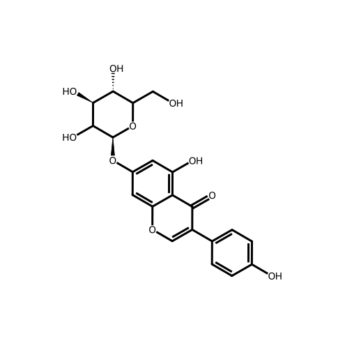 O=c1c(-c2ccc(O)cc2)coc2cc(O[C@@H]3OC(CO)[C@@H](O)[C@H](O)C3O)cc(O)c12